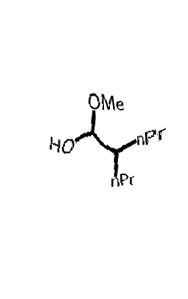 CCCC(CCC)C(O)OC